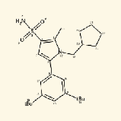 Cc1c(S(N)(=O)=O)cc(-c2cc(C(C)(C)C)cc(C(C)(C)C)c2)n1CC1CCCC1